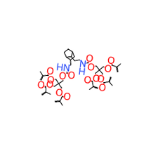 C=C(C)C(=O)OCC(COC(=O)NCCC1C2CCC1C(CNC(=O)OCC(COC(=O)C(=C)C)(COC(=O)C(=C)C)COC(=O)C(=C)C)C2)(COC(=O)C(=C)C)COC(=O)C(=C)C